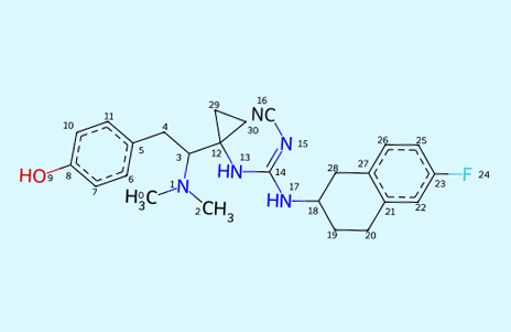 CN(C)C(Cc1ccc(O)cc1)C1(NC(=NC#N)NC2CCc3cc(F)ccc3C2)CC1